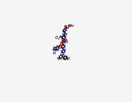 CC1(C)CCC(CN2CCN(c3ccc(C(=O)NS(=O)(=O)c4ccc(NC[C@H]5CCN(C(=O)OC(C)(C)C)C5)c([N+](=O)[O-])c4)c(Oc4cnc5[nH]ccc5c4)c3)CC2)=C(c2ccc(Cl)cc2)C1